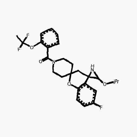 CC(C)OC1NC12CC1(CCN(C(=O)c3ccccc3OC(C)(F)F)CC1)Oc1ccc(F)cc12